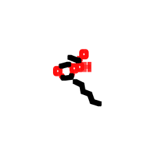 C1COCCO1.CC(=O)O.CCCCCC